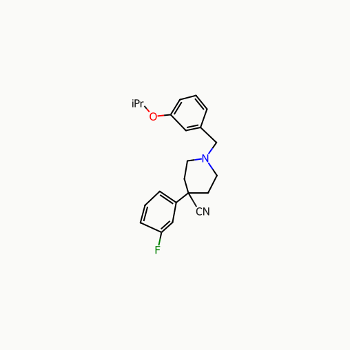 CC(C)Oc1cccc(CN2CCC(C#N)(c3cccc(F)c3)CC2)c1